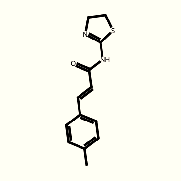 Cc1ccc(/C=C/C(=O)NC2=NCCS2)cc1